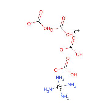 O=C([O-])O.O=C([O-])O.O=C([O-])O.O=C([O-])O.[C+4].[NH2][Pd]([NH2])([NH2])[NH2]